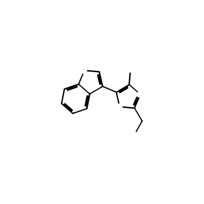 CC(C)Cc1nc(Br)c(-c2c[nH]c3ccccc23)o1